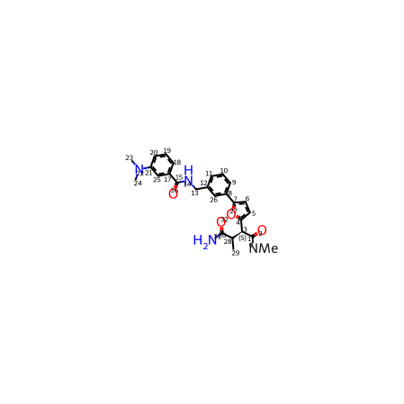 CNC(=O)[C@H](c1ccc(-c2cccc(CNC(=O)c3cccc(N(C)C)c3)c2)o1)C(C)C(N)=O